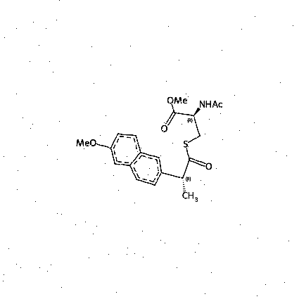 COC(=O)[C@H](CSC(=O)[C@H](C)c1ccc2cc(OC)ccc2c1)NC(C)=O